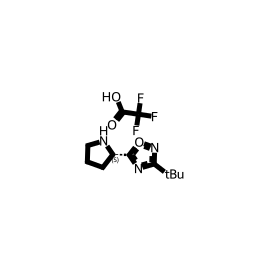 CC(C)(C)c1noc([C@@H]2CCCN2)n1.O=C(O)C(F)(F)F